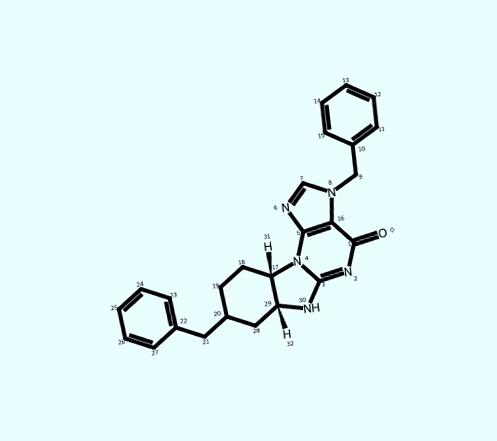 O=c1nc2n(c3ncn(Cc4ccccc4)c13)[C@H]1CCC(Cc3ccccc3)C[C@H]1N2